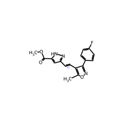 COC(=O)c1cc(/C=C/c2c(-c3ccc(F)cc3)noc2C)n[nH]1